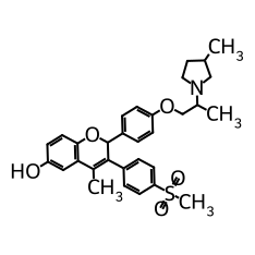 CC1=C(c2ccc(S(C)(=O)=O)cc2)C(c2ccc(OCC(C)N3CCC(C)C3)cc2)Oc2ccc(O)cc21